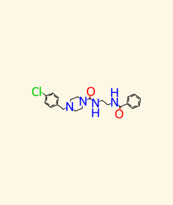 O=C(NCCNC(=O)N1CCN(Cc2ccc(Cl)cc2)CC1)c1ccccc1